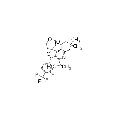 CC(C)c1nc2c(c3c1C(c1ccc(C(F)(F)F)c(F)c1)OC31CCOCC1)C(O)CC(C)(C)C2